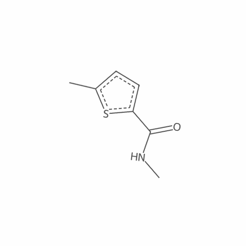 CNC(=O)c1ccc(C)s1